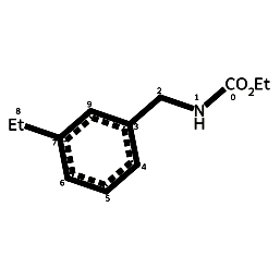 CCOC(=O)NCc1cccc(CC)c1